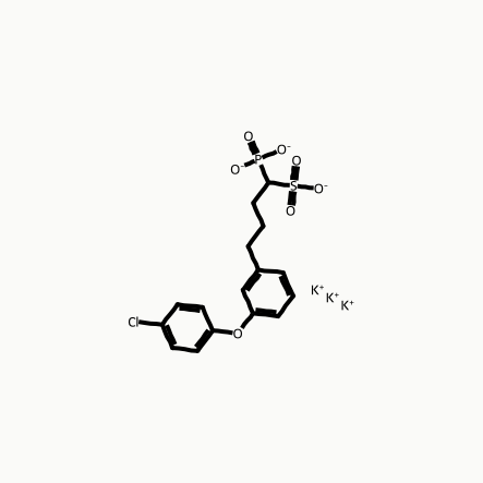 O=P([O-])([O-])C(CCCc1cccc(Oc2ccc(Cl)cc2)c1)S(=O)(=O)[O-].[K+].[K+].[K+]